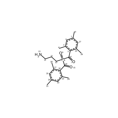 Cc1cc(C)c(C(=O)P(=O)(CCCN)C(=O)c2c(C)cc(C)cc2C)c(C)c1